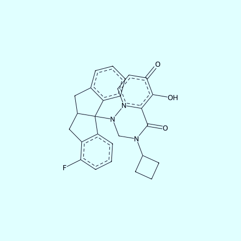 O=C1c2c(O)c(=O)ccn2N(C23c4ccccc4CC2Cc2c(F)cccc23)CN1C1CCC1